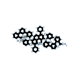 C=Cc1c(N(c2cc(C)ccc2C)c2cccc3c2oc2c(-c4ccccc4C(C)C)cccc23)cc(C2CCCCC2)c2ccc3c(N(c4cc(C)ccc4C)c4cccc(-c5cccc(-c6ccccc6C(C)C)c5)c4O)cc(C4CCCCC4)c(C)c3c12